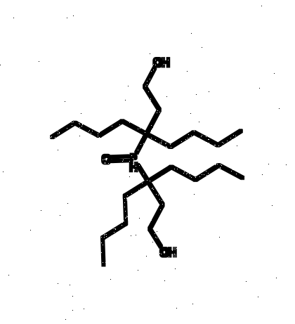 CCCCC(CCO)(CCCC)[PH](=O)C(CCO)(CCCC)CCCC